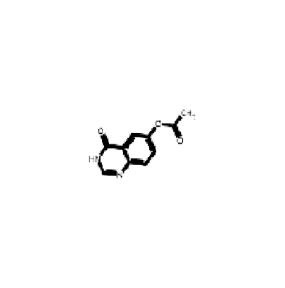 CC(=O)Oc1ccc2nc[nH]c(=O)c2c1